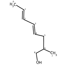 CC=C/C=C/CC(C)CO